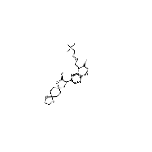 CS(C)(C)CCOCN1C(=O)COc2ncc(N3CC4(CCC5(CC4)OCCO5)OC3=O)nc21